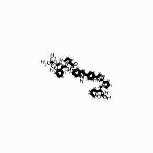 CC(C)(C)OC(=O)NC(C(=O)N1CCCC1C(=O)Nc1ccc2[nH]c(-c3ccc(-c4cnc([C@@H]5CCCN5C[C@@H](NC(=O)O)C5=CC=CCO5)[nH]4)cc3)cc2c1)c1ccccc1